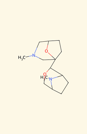 CN1CC2CCC(C3OCC4CCC3N4C)(C1)O2